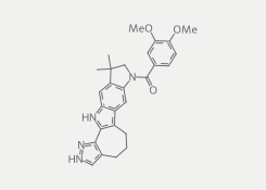 COc1ccc(C(=O)N2CC(C)(C)c3cc4[nH]c5c(c4cc32)CCCc2c[nH]nc2-5)cc1OC